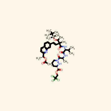 CC(=O)O[C@H](C)c1ccc2ccc(C=CC(C)(C(=O)N[C@H](C(=O)N[C@@H](C)C(=O)N3CCC[C@@H](C(=O)OCC(Cl)(Cl)Cl)N3)C(C)C)C(C)O[Si](C)(C)C(C)(C)C)cc2n1